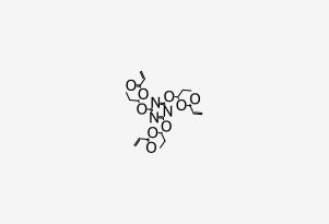 C=CC(=O)OC(CC)Oc1nc(OC(CC)OC(=O)C=C)nc(OC(CC)OC(=O)C=C)n1